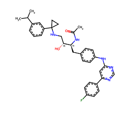 CC(=O)N[C@@H](Cc1ccc(Nc2cc(-c3ccc(F)cc3)ncn2)cc1)[C@H](O)CNC1(c2cccc(C(C)C)c2)CC1